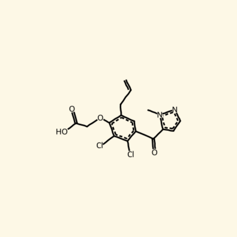 C=CCc1cc(C(=O)c2ccnn2C)c(Cl)c(Cl)c1OCC(=O)O